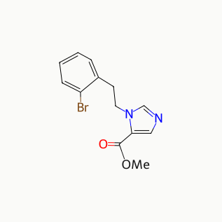 COC(=O)c1cncn1CCc1ccccc1Br